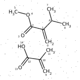 C=C(C(=O)OC)C(C)C.C=C(C)C(=O)O